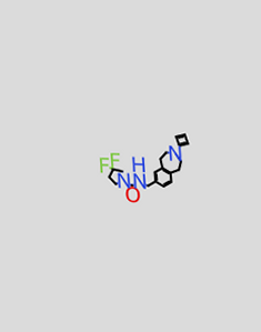 O=C(NCc1ccc2c(c1)CCN(C1=CC=C1)CC2)N1CCC(F)(F)C1